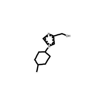 CC1CCC(n2cnc(CO)c2)CC1